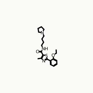 CCOc1ccccc1-c1nc(C)c(C(=O)NCCCCN2CCCC2)s1